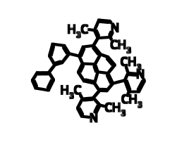 Cc1ccnc(C)c1-c1cc(-c2cccc(-c3ccccc3)c2)c2ccc3c(-c4c(C)ccnc4C)cc(-c4c(C)ccnc4C)c4ccc1c2c34